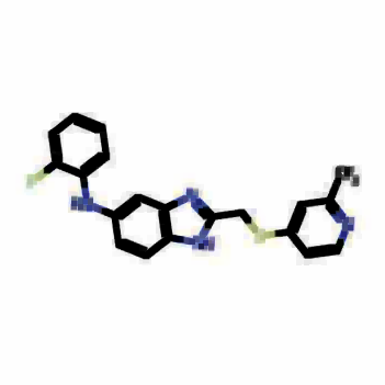 Fc1ccccc1Nc1ccc2[nH]c(CSc3ccnc(C(F)(F)F)c3)nc2c1